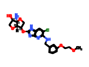 COCCOc1cccc(CNc2nc3nc(O[C@@H]4CO[C@]5(N)[C@H](O)CO[C@H]45)[nH]c3cc2Cl)c1